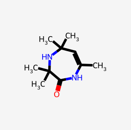 CC1=CC(C)(C)NC(C)(C)C(=O)N1